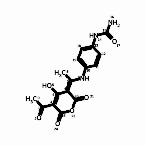 CC(=O)C1=C(O)/C(=C(\C)Nc2ccc(NC(N)=O)cc2)C(=O)OC1=O